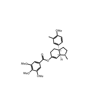 COc1ccc([C@@]23CCC(OC(=O)c4cc(OC)c(OC)c(OC)c4)=C[C@@H]2N(C)CC3)cc1C